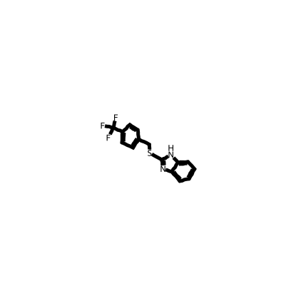 FC(F)(F)c1ccc(CSc2nc3ccccc3[nH]2)cc1